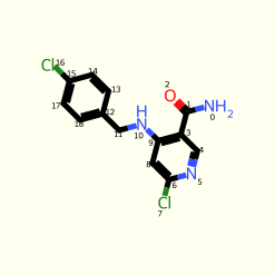 NC(=O)c1cnc(Cl)cc1NCc1ccc(Cl)cc1